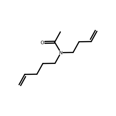 C=CCCCN(CCC=C)C(C)=O